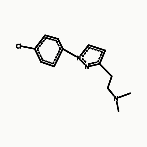 CN(C)CCc1ccn(-c2ccc(Cl)cc2)n1